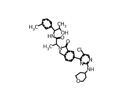 Cc1cccc(C(NC(=O)C(C)N2Cc3ccc(-c4nc(NC5CCOCC5)ncc4Cl)cc3C2=O)C(C)O)c1